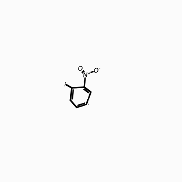 O=[N+]([O-])c1c[c]ccc1I